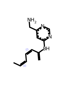 C=C(Bc1cc(CN)ncn1)/C=C\C=C/C